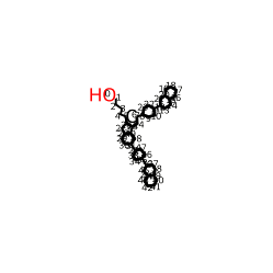 OCCCCc1cc(-c2ccc(-c3ccc4ccccc4c3)cc2)cc2c1Cc1ccc(-c3ccc(-c4ccc5ccccc5c4)cc3)cc1-2